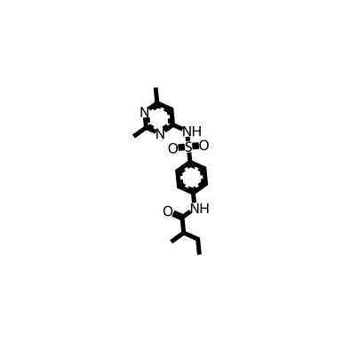 CCC(C)C(=O)Nc1ccc(S(=O)(=O)Nc2cc(C)nc(C)n2)cc1